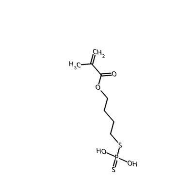 C=C(C)C(=O)OCCCCSP(O)(O)=S